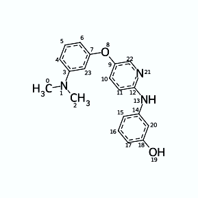 CN(C)c1cccc(Oc2ccc(Nc3cccc(O)c3)nc2)c1